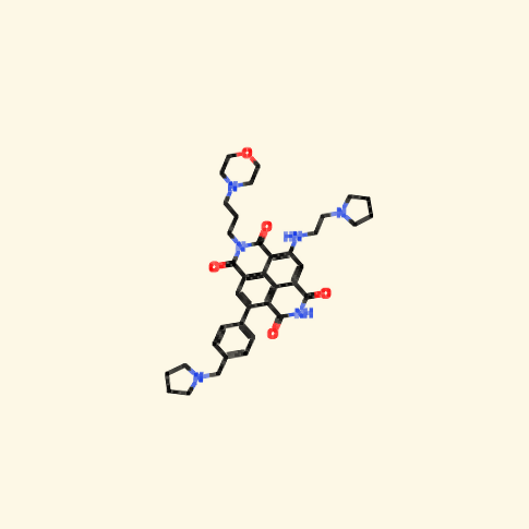 O=C1NC(=O)c2c(-c3ccc(CN4CCCC4)cc3)cc3c4c(c(NCCN5CCCC5)cc1c24)C(=O)N(CCCN1CCOCC1)C3=O